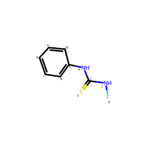 FNC(=S)Nc1ccccc1